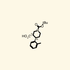 Cc1ccccc1[C@@H]1CCN(C(=O)OC(C)(C)C)C[C@H]1C(=O)O